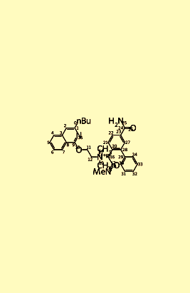 CCCCc1cc2ccccc2c(OCC[N+](C)(C)[C@@H](C(=O)NC)c2ccc(C(N)=O)cc2-c2ccccc2)n1